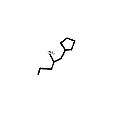 CCCC(N)CC1CCCC1